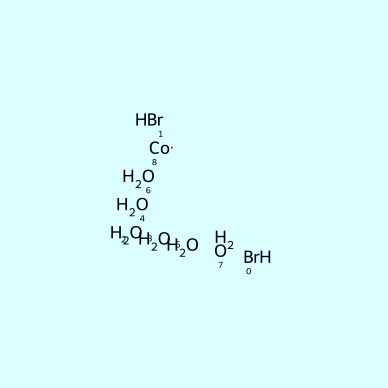 Br.Br.O.O.O.O.O.O.[Co]